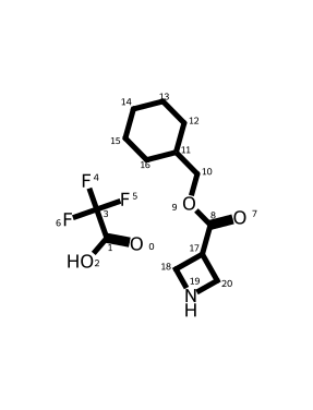 O=C(O)C(F)(F)F.O=C(OCC1CCCCC1)C1CNC1